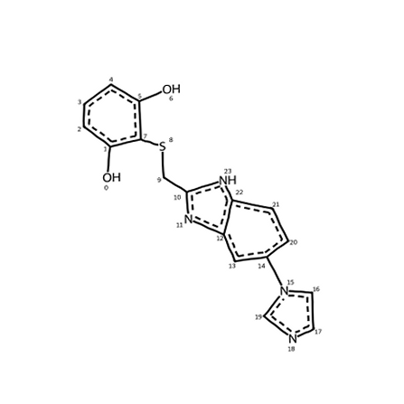 Oc1cccc(O)c1SCc1nc2cc(-n3ccnc3)ccc2[nH]1